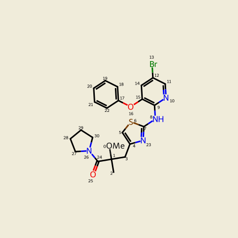 COC(C)(Cc1csc(Nc2ncc(Br)cc2Oc2ccccc2)n1)C(=O)N1CCCC1